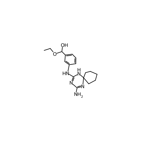 CCOC(O)c1cccc(NC2=NC(N)=NC3(CCCCC3)N2)c1